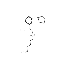 C[C@@H](CS(=O)(=O)CCCCCO)c1cccc(OC2CCCC2)c1